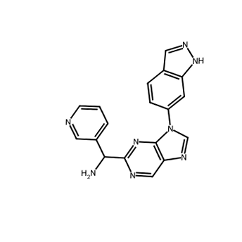 NC(c1cccnc1)c1ncc2ncn(-c3ccc4cn[nH]c4c3)c2n1